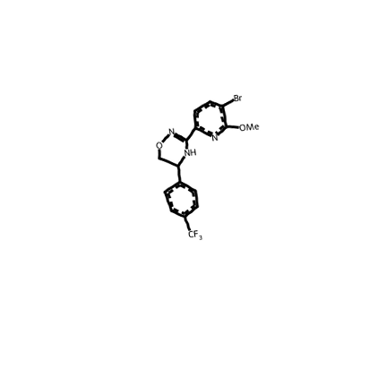 COc1nc(C2=NOCC(c3ccc(C(F)(F)F)cc3)N2)ccc1Br